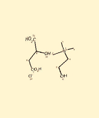 C[N+](C)(C)CCO.O=C(O)CC(O)C(=O)O.[Cl-]